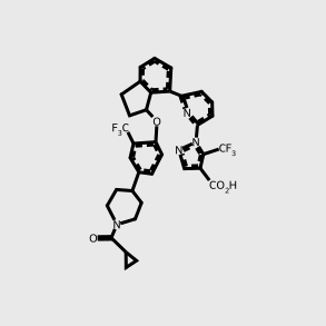 O=C(O)c1cnn(-c2cccc(-c3cccc4c3C(Oc3ccc(C5CCN(C(=O)C6CC6)CC5)cc3C(F)(F)F)CC4)n2)c1C(F)(F)F